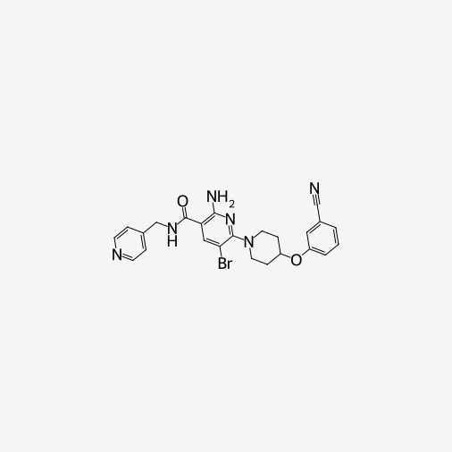 N#Cc1cccc(OC2CCN(c3nc(N)c(C(=O)NCc4ccncc4)cc3Br)CC2)c1